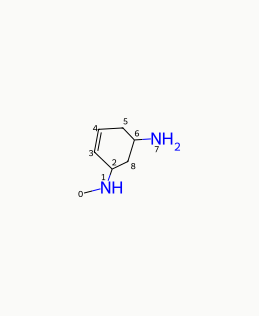 CNC1C=CCC(N)C1